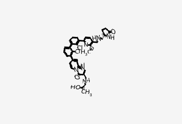 COc1nc(-c2cccc(-c3cccc(-c4ccn5c(=O)c(CNC[C@H](C)O)cnc5c4)c3Cl)c2Cl)ccc1CNC[C@@H]1CCC(=O)N1